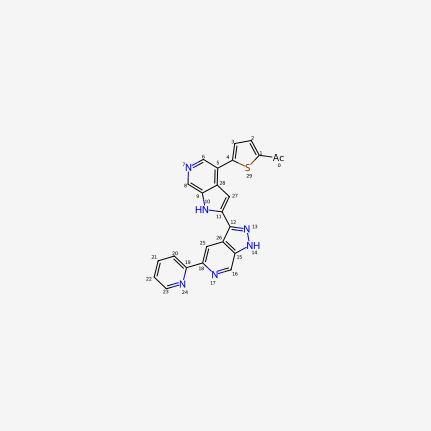 CC(=O)c1ccc(-c2cncc3[nH]c(-c4n[nH]c5cnc(-c6ccccn6)cc45)cc23)s1